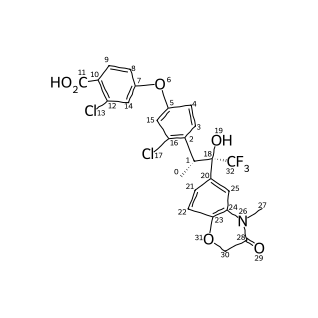 C[C@H](c1ccc(Oc2ccc(C(=O)O)c(Cl)c2)cc1Cl)[C@@](O)(c1ccc2c(c1)N(C)C(=O)CO2)C(F)(F)F